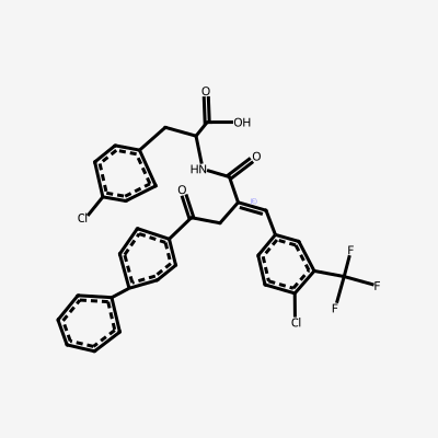 O=C(NC(Cc1ccc(Cl)cc1)C(=O)O)/C(=C/c1ccc(Cl)c(C(F)(F)F)c1)CC(=O)c1ccc(-c2ccccc2)cc1